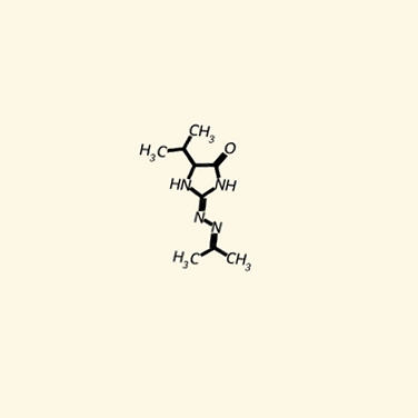 CC(C)=N/N=C1\NC(=O)C(C(C)C)N1